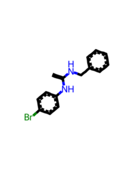 C=C(NCc1ccccc1)Nc1ccc(Br)cc1